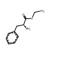 C[CH]OC(=O)[C@@H](N)Cc1ccccc1